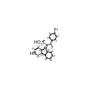 CC(c1ccc(F)cc1)C(C(=O)O)n1c2c(c3ccccc31)CNC=C2